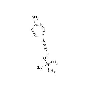 CC(C)(C)[Si](C)(C)OCC#Cc1ccc(N)nc1